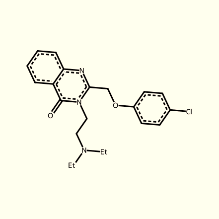 CCN(CC)CCn1c(COc2ccc(Cl)cc2)nc2ccccc2c1=O